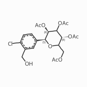 CC(=O)OCC1O[C@@H](c2ccc(Cl)c(CO)c2)[C@@H](OC(C)=O)C(OC(C)=O)[C@@H]1OC(C)=O